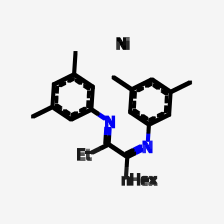 CCCCCCC(=Nc1cc(C)cc(C)c1)C(CC)=Nc1cc(C)cc(C)c1.[Ni]